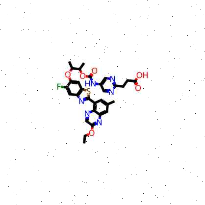 CCOc1cnc2c(-c3nc4cc(F)c(OC(C)C(C)OC(=O)Nc5cnc(CCC(=O)O)nc5)cc4s3)cc(C)cc2n1